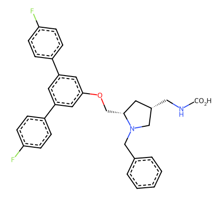 O=C(O)NC[C@H]1C[C@@H](COc2cc(-c3ccc(F)cc3)cc(-c3ccc(F)cc3)c2)N(Cc2ccccc2)C1